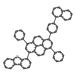 c1ccc(-c2cc(-c3ccc(-c4cccc5ccccc45)cc3)c3ccc4c(-c5ccccc5)cc(-c5cccc6c5sc5ccccc56)c5ccc2c3c45)cc1